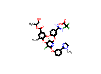 COc1cc(C(=O)OC(C)CO)ccc1Oc1c(F)c(Oc2cccc(C3=NCCN3C)c2)nc(Oc2cc(C(=N)N)ccc2O)c1F.O=C(O)C(F)(F)F